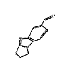 O=Cc1ccc2c(c1)nc1n2CCS1